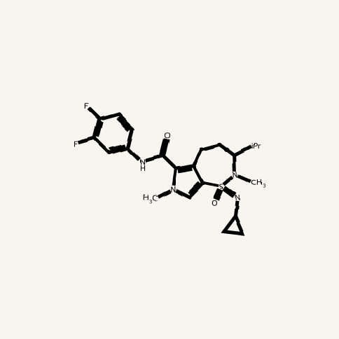 CC(C)C1CCc2c(cn(C)c2C(=O)Nc2ccc(F)c(F)c2)S(=O)(=NC2CC2)N1C